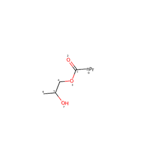 CCCC(=O)OCC(C)O